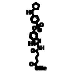 COC(=O)CCCC(=O)Nc1nc2cc(OS(=O)(=O)c3ccc(NC4CCCC4)cc3)ccc2[nH]1